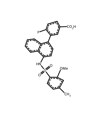 COc1cc(C)ccc1S(=O)(=O)Nc1ccc(-c2cc(C(=O)O)ccc2F)c2ccccc12